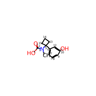 CN(C(=O)O)C1(c2cccc(O)c2)CCC1